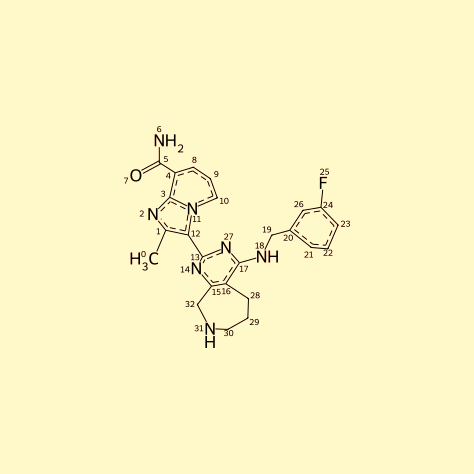 Cc1nc2c(C(N)=O)cccn2c1-c1nc2c(c(NCc3cccc(F)c3)n1)CCCNC2